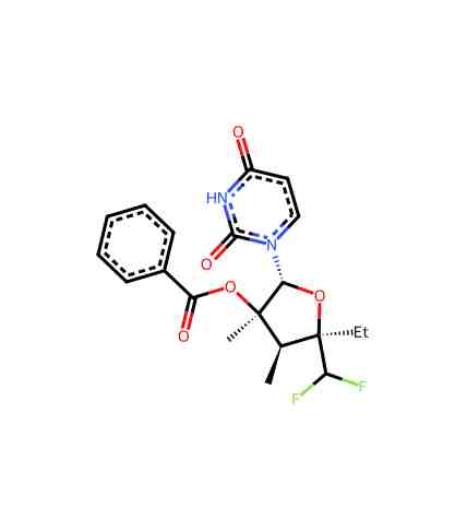 CC[C@@]1(C(F)F)O[C@@H](n2ccc(=O)[nH]c2=O)[C@](C)(OC(=O)c2ccccc2)[C@@H]1C